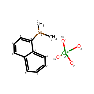 C[S+](C)c1cccc2ccccc12.[O-][Cl+3]([O-])([O-])[O-]